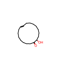 O=C1CCCCCCC/C=C/CCCCCCCC1O